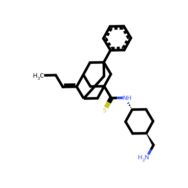 CCC=C1C2CC3(C(=S)N[C@H]4CC[C@H](CN)CC4)CC1CC(c1ccccc1)(C2)C3